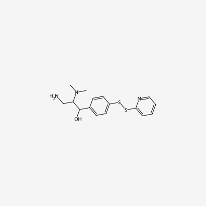 CN(C)C(CN)C(O)c1ccc(SSc2ccccn2)cc1